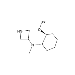 CC(C)O[C@H]1CCCC[C@@H]1N(C)C1CNC1